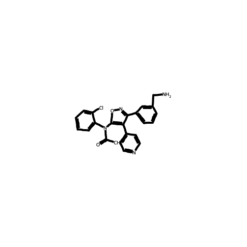 CC(=O)N(c1ccccc1Cl)c1onc(-c2cccc(CN)c2)c1-c1ccncc1